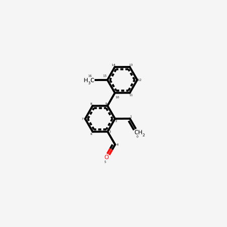 C=Cc1c(C=O)cccc1-c1ccccc1C